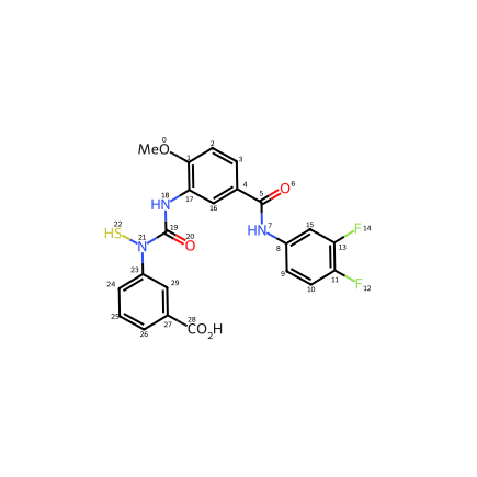 COc1ccc(C(=O)Nc2ccc(F)c(F)c2)cc1NC(=O)N(S)c1cccc(C(=O)O)c1